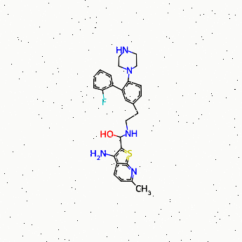 Cc1ccc2c(N)c(C(O)NCCc3ccc(N4CCNCC4)c(-c4ccccc4F)c3)sc2n1